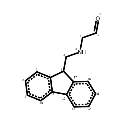 O=CCNCC1c2ccccc2-c2ccccc21